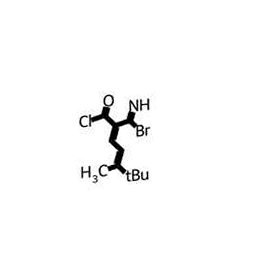 C/C(=C\C=C(/C(=N)Br)C(=O)Cl)C(C)(C)C